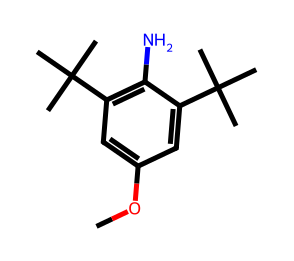 COc1cc(C(C)(C)C)c(N)c(C(C)(C)C)c1